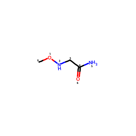 CONCC(N)=O